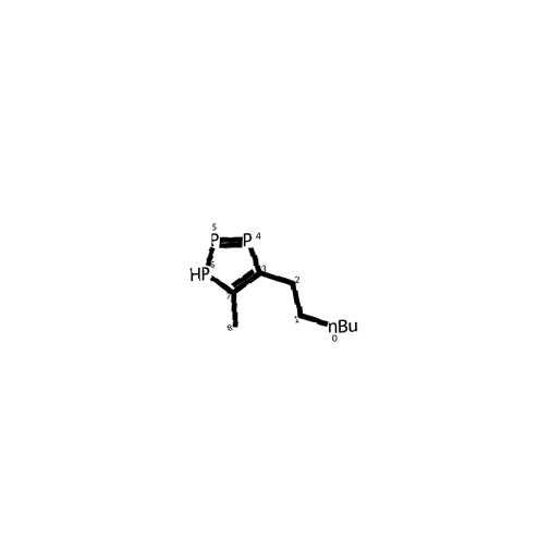 CCCCCCc1pp[pH]c1C